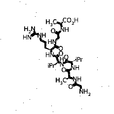 CC(C)[C@H](NC(=O)[C@H](C)NC(=O)CN)C(=O)N[C@H](C(=O)N[C@@H](CCCNC(=N)N)C(=O)NCC(=O)N[C@@H](C)C(=O)O)C(C)C